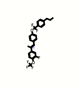 CCCc1ccc(C(F)(F)Oc2ccc(/C=C(\C)c3ccc(OC(F)(F)F)c(F)c3)cc2)cc1